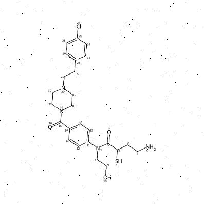 NCCC(S)C(=O)N(CCO)c1ccc(C(=O)N2CCN(CCc3ccc(Cl)cc3)CC2)cc1